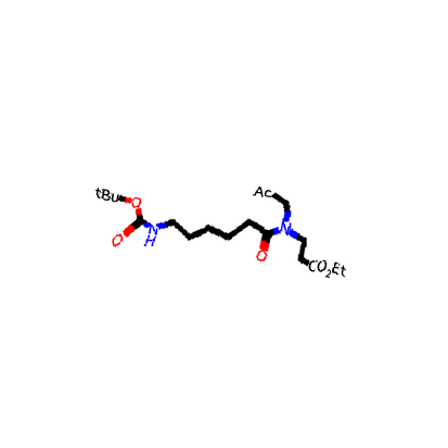 CCOC(=O)CCN(CC(C)=O)C(=O)CCCCCNC(=O)OC(C)(C)C